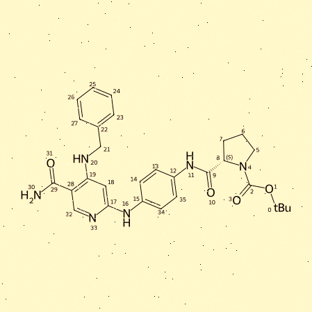 CC(C)(C)OC(=O)N1CCC[C@H]1C(=O)Nc1ccc(Nc2cc(NCc3ccccc3)c(C(N)=O)cn2)cc1